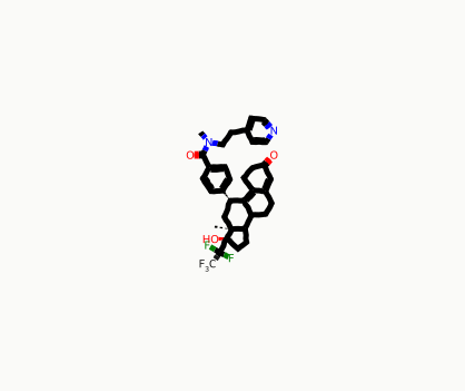 CN(CCc1ccncc1)C(=O)c1ccc([C@H]2C[C@@]3(C)C(CC[C@]3(O)C(F)(F)C(F)(F)F)C3CCC4=CC(=O)CCC4=C32)cc1